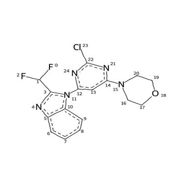 FC(F)c1nc2ccccc2n1-c1cc(N2CCOCC2)nc(Cl)n1